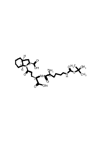 CC(C)(C)OC(=O)NCCCC[C@H](N)C(=O)N[C@H](CCC(=O)N1[C@H](C(=O)O)C[C@@H]2CCCC[C@@H]21)C(=O)O